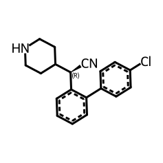 N#C[C@@H](c1ccccc1-c1ccc(Cl)cc1)C1CCNCC1